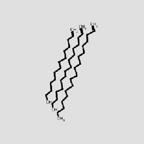 C=CCCCCCCCCCCCC.C=CCCCCCCCCCCCCCC.C=CCCCCCCCCCCCCCCCC